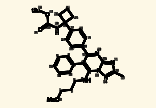 COCCCNc1c(-c2ccccc2)c(-c2ccc(C3(NC(=O)OC(C)(C)C)CCC3)cc2)nc2nc(C)nn12